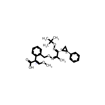 CO/C=C(/C(=O)O)c1ccccc1CON=C(C)C(=NOC(C)(C)C)[C@@H]1C[C@H]1c1ccccc1